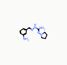 NC(=NN1CCCC1)NN=Cc1cccc(N)c1